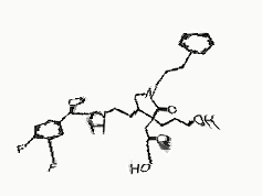 O=C(O)CC1(CCCO)C(=O)N(CCc2ccccc2)CC1CCNC(=O)c1ccc(F)c(F)c1